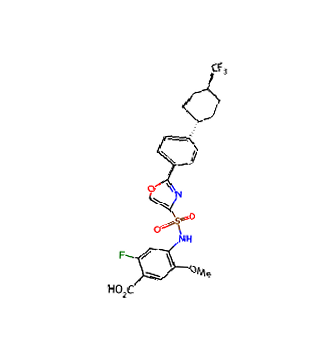 COc1cc(C(=O)O)c(F)cc1NS(=O)(=O)c1coc(-c2ccc([C@H]3CC[C@H](C(F)(F)F)CC3)cc2)n1